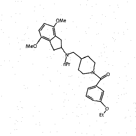 CCCN(CC1CCN(C(=O)c2cccc(OCC)c2)CC1)C1Cc2c(OC)ccc(OC)c2C1